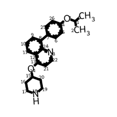 CC(C)Oc1ccc(-c2cccc3c(OC4CCNCC4)ccnc23)cc1